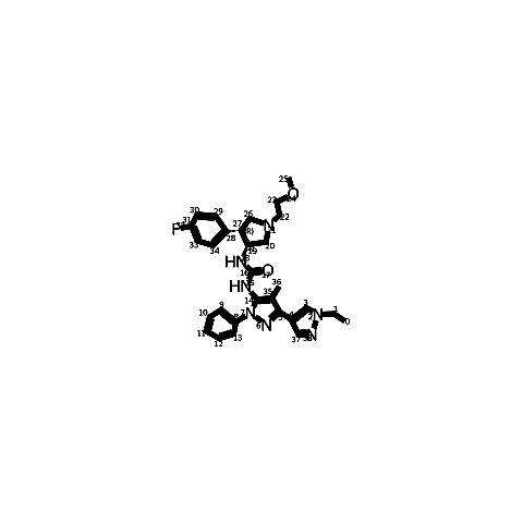 CCn1cc(-c2nn(-c3ccccc3)c(NC(=O)N[C@@H]3CN(CCOC)C[C@H]3c3ccc(F)cc3)c2C)cn1